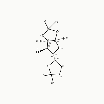 CC[C@H]1[C@H]2OC(C)(C)O[C@H]2O[C@@H]1C1COC(C)(C)O1